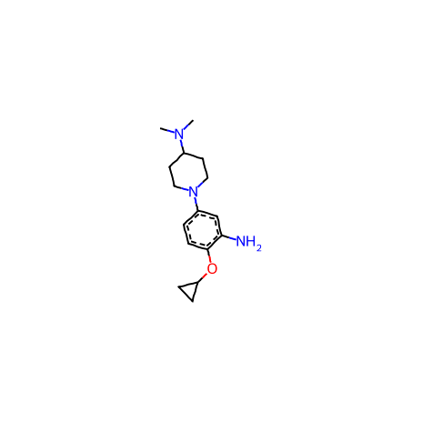 CN(C)C1CCN(c2ccc(OC3CC3)c(N)c2)CC1